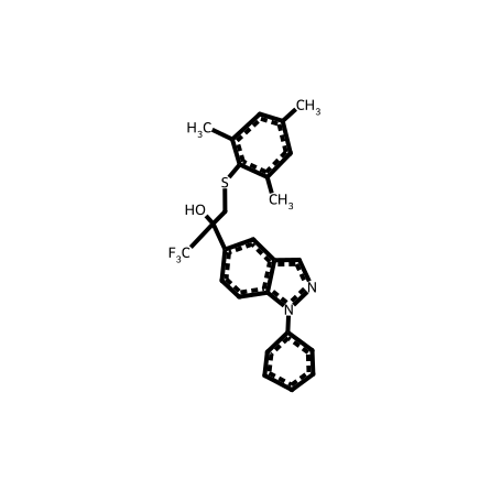 Cc1cc(C)c(SCC(O)(c2ccc3c(cnn3-c3ccccc3)c2)C(F)(F)F)c(C)c1